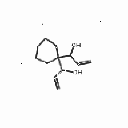 C=CC(O)C1(C(O)C=C)CCCCC1